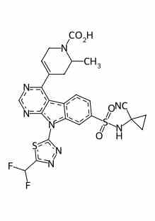 CC1CC(c2ncnc3c2c2ccc(S(=O)(=O)NC4(C#N)CC4)cc2n3-c2nnc(C(F)F)s2)=CCN1C(=O)O